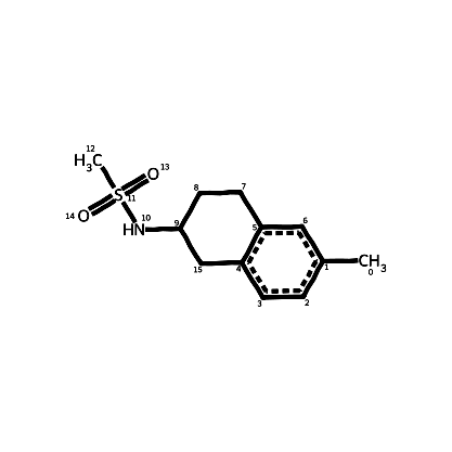 Cc1ccc2c(c1)CCC(NS(C)(=O)=O)C2